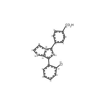 O=C(O)c1ccc(-c2nc(-c3ccccc3Cl)c3sccn23)cc1